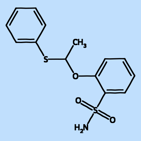 CC(Oc1ccccc1S(N)(=O)=O)Sc1ccccc1